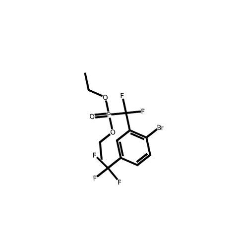 CCOP(=O)(OCC)C(F)(F)c1cc(C(F)(F)F)ccc1Br